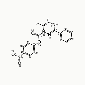 CC1=NNC(c2ccccc2)=NN1C(=O)Oc1ccc([N+](=O)[O-])cc1